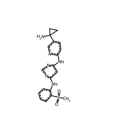 CS(=O)(=O)c1ccccc1Nc1cc(Nc2ccc(C3(N)CC3)cn2)ncn1